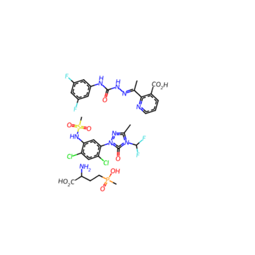 C/C(=N\NC(=O)Nc1cc(F)cc(F)c1)c1ncccc1C(=O)O.CP(=O)(O)CCC(N)C(=O)O.Cc1nn(-c2cc(NS(C)(=O)=O)c(Cl)cc2Cl)c(=O)n1C(F)F